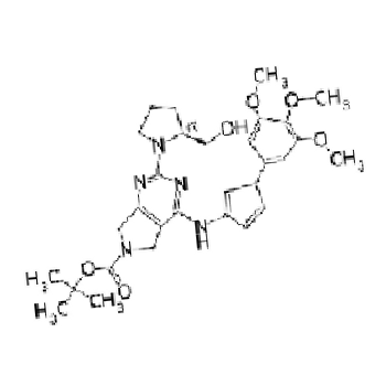 COc1cc(C2C=CC(Nc3nc(N4CCC[C@H]4CO)nc4c3CN(C(=O)OC(C)(C)C)C4)=C2)cc(OC)c1OC